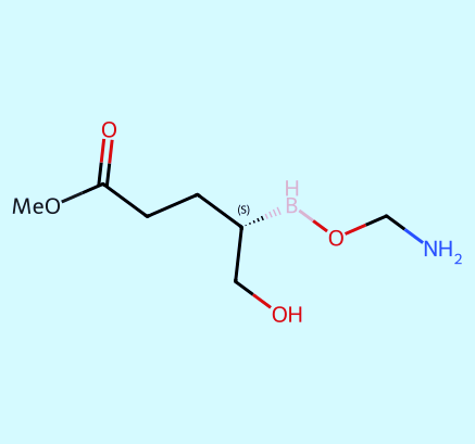 COC(=O)CC[C@H](BOCN)CO